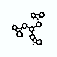 c1cc(-c2cc(-c3cccc(-n4c5ccccc5c5ccccc54)c3)cc(-c3ccc4sc5ccccc5c4c3)c2)cc(-n2c3ccccc3c3ccccc32)c1